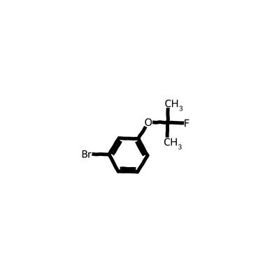 CC(C)(F)Oc1cccc(Br)c1